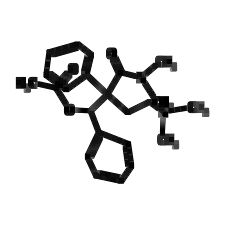 CC(=O)OC(c1ccccc1)C(CCN(C)C)(C(=O)N(C)C)c1ccccc1